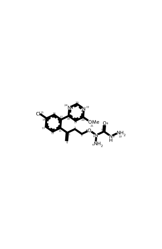 C=C(CCON(N)C(=O)NN)c1ccc(Cl)cc1-c1cc(OC)ncn1